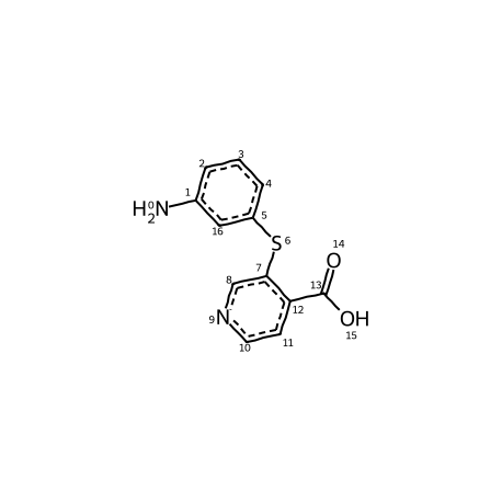 Nc1cccc(Sc2cnccc2C(=O)O)c1